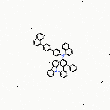 c1ccc(-c2cc(N(c3ccc(-c4ccc(-c5cccc6ccccc56)cc4)cc3)c3cccc4ccccc34)ccc2-c2ccccc2-n2c3ccccc3c3ccccc32)cc1